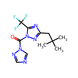 CC(C)(C)Cc1nc(C(F)(F)F)n(C(=O)n2cncn2)n1